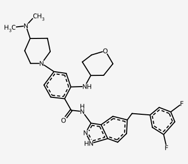 CN(C)C1CCN(c2ccc(C(=O)Nc3n[nH]c4ccc(Cc5cc(F)cc(F)c5)cc34)c(NC3CCOCC3)c2)CC1